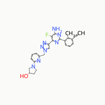 C#Cc1cccc(-c2nc(N)c(F)c(-c3cn(Cc4cccc(N5CCC(O)C5)n4)nn3)n2)c1C